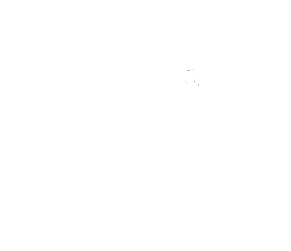 CCCCCCCCCCCCCCCCCc1ccc[n+](CCCCC)c1CCCCCCCCCCCCCCCCC